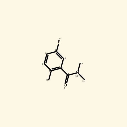 Cc1ccc(F)cc1C(=O)N(C)C